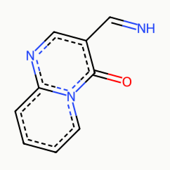 N=Cc1cnc2ccccn2c1=O